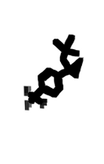 CC(C)(C)CC1(c2ccc(C(F)(F)F)cc2)CC1